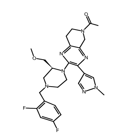 COC[C@@H]1CN(Cc2ccc(F)cc2F)CCN1c1nc2c(nc1-c1cnn(C)c1)CN(C(C)=O)CC2